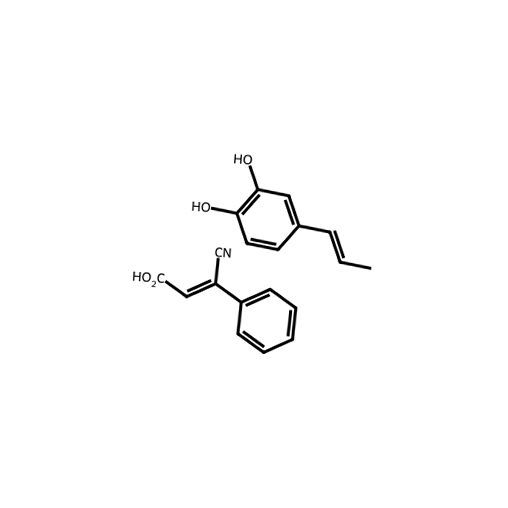 CC=Cc1ccc(O)c(O)c1.N#CC(=CC(=O)O)c1ccccc1